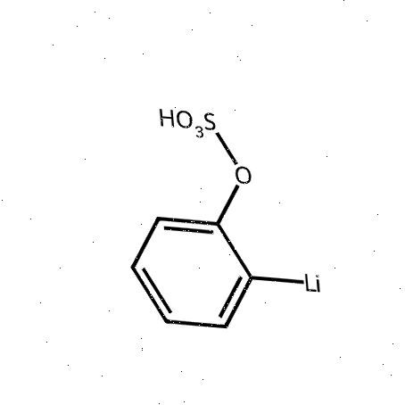 [Li][c]1ccccc1OS(=O)(=O)O